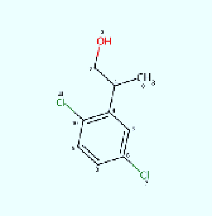 C[C](CO)c1cc(Cl)ccc1Cl